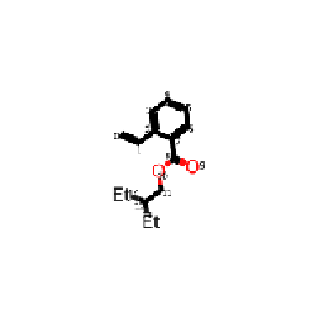 C=Cc1ccccc1C(=O)OCC(CC)CC